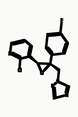 Fc1ccc([C@]2(Cn3cncn3)O[C@H]2c2cccnc2Cl)cc1